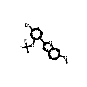 COc1ccc2cc(-c3ccc(Br)cc3OC(F)(F)F)oc2c1